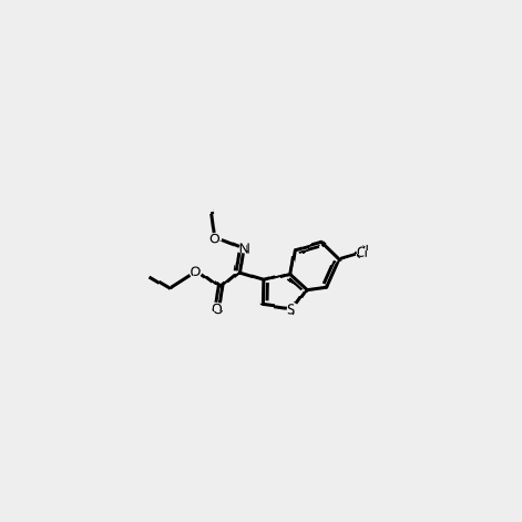 CCOC(=O)C(=NOC)c1csc2cc(Cl)ccc12